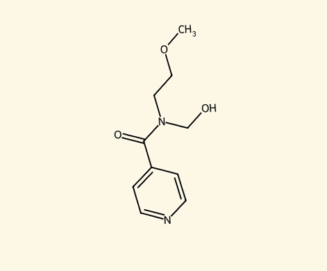 COCCN(CO)C(=O)c1ccncc1